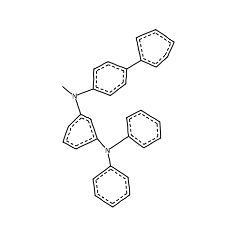 CN(c1ccc(-c2ccccc2)cc1)c1cccc(N(c2ccccc2)c2ccccc2)c1